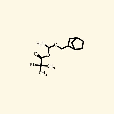 CCC(C)(C)C(=O)OC(C)OCC1CC2CCC1C2